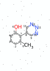 Cc1cccc(O)c1-c1cnnnc1